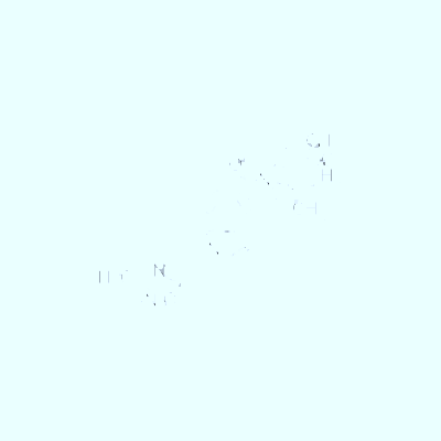 Cc1noc(CCn2ccc3cc(C(=O)N4CC5(C)CC4CC(C)(C)C5)ccc32)n1